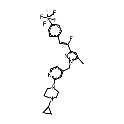 Cc1cc(/C(F)=C/c2ccc(S(F)(F)(F)(F)F)cc2)nn1Cc1ccnc(N2CCN(C3CC3)CC2)c1